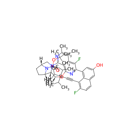 Cc1nc2c3c(nc(-c4cc(O)cc5ccc(F)c(C#C[Si](C(C)C)(C(C)C)C(C)C)c45)c(F)c3c1C)O[C@@H](C)[C@@H]1[C@@H]3CC[C@H](CN21)N3C(=O)OC(C)(C)C